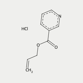 C=CCOC(=O)c1cccnc1.Cl